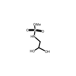 COS(=O)(=O)NCC(O)O